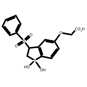 O=C(O)COc1ccc2c(c1)C(S(=O)(=O)c1ccccc1)CS2(O)O